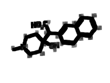 CN1CCC(O)(C(C(=O)O)c2ccc3ccccc3c2)CC1